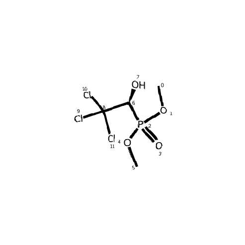 COP(=O)(OC)[C@H](O)C(Cl)(Cl)Cl